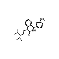 CC(C)N(CCC1C(=O)NC(c2cccc(N)c2)c2ccccc21)C(C)C